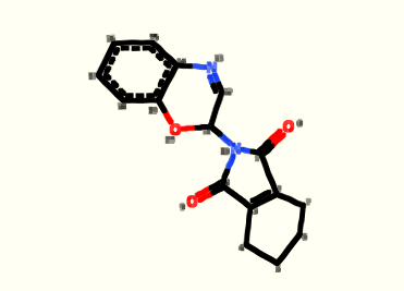 O=C1C2=C(CCCC2)C(=O)N1C1C=Nc2ccccc2O1